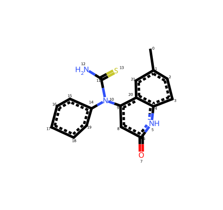 Cc1ccc2[nH]c(=O)cc(N(C(N)=S)c3ccccc3)c2c1